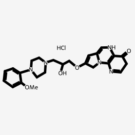 COc1ccccc1N1CCN(CC(O)COC2=CC3=CNC4=C(N=CCC4=O)N3C2)CC1.Cl